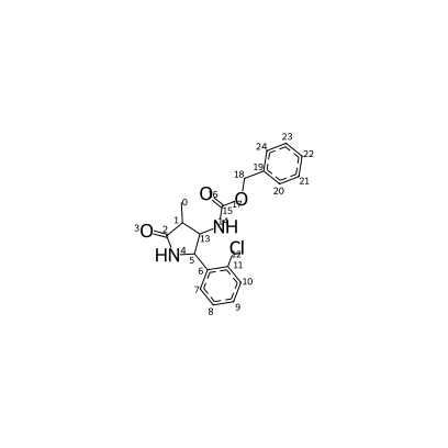 CC1C(=O)NC(c2ccccc2Cl)C1NC(=O)OCc1ccccc1